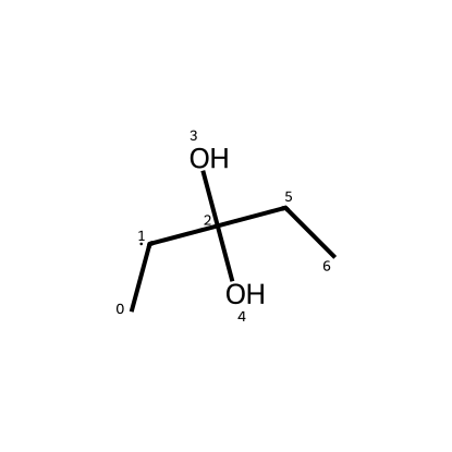 C[CH]C(O)(O)CC